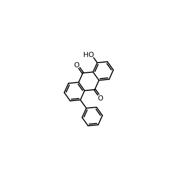 O=C1c2cccc(-c3ccccc3)c2C(=O)c2cccc(O)c21